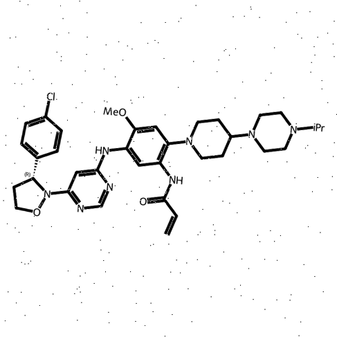 C=CC(=O)Nc1cc(Nc2cc(N3OCC[C@@H]3c3ccc(Cl)cc3)ncn2)c(OC)cc1N1CCC(N2CCN(C(C)C)CC2)CC1